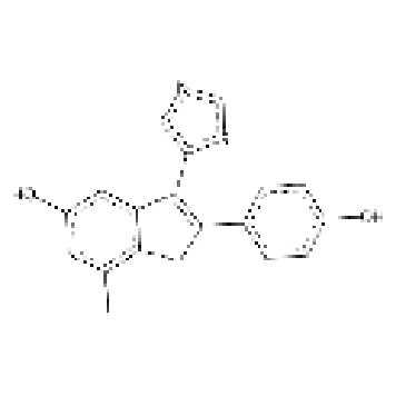 Cc1cc(O)cc2c1CC(c1ccc(O)cc1)=C2c1cncs1